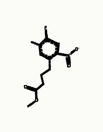 COC(=O)CCCc1cc(C)c(F)cc1[N+](=O)[O-]